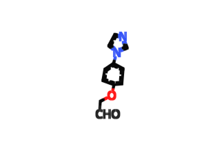 O=CCOc1ccc(-n2ccnc2)cc1